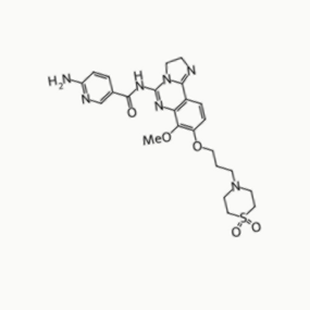 COc1c(OCCCN2CCS(=O)(=O)CC2)ccc2c1N=C(NC(=O)c1ccc(N)nc1)N1CCN=C21